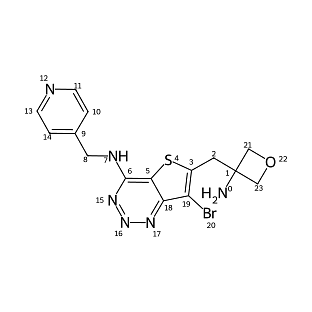 NC1(Cc2sc3c(NCc4ccncc4)nnnc3c2Br)COC1